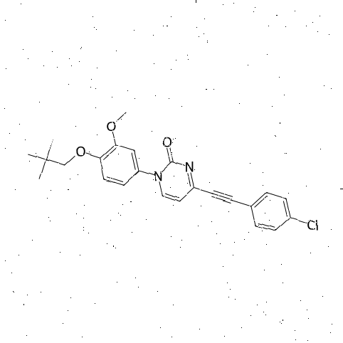 COc1cc(-n2ccc(C#Cc3ccc(Cl)cc3)nc2=O)ccc1OCC(C)(C)C